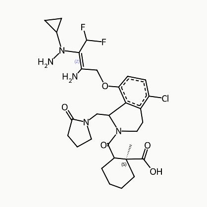 C[C@]1(C(=O)O)CCCCC1C(=O)N1CCc2c(Cl)ccc(OC/C(N)=C(\C(F)F)N(N)C3CC3)c2C1CN1CCCC1=O